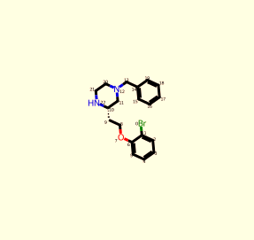 Brc1ccccc1OCC[C@H]1CN(Cc2ccccc2)CCN1